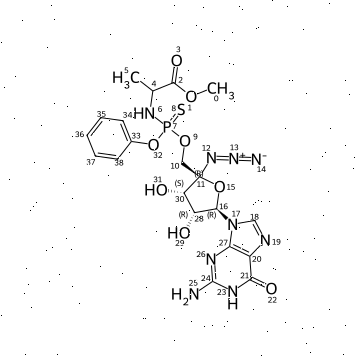 COC(=O)C(C)NP(=S)(OC[C@@]1(N=[N+]=[N-])O[C@@H](n2cnc3c(=O)[nH]c(N)nc32)[C@H](O)[C@@H]1O)Oc1ccccc1